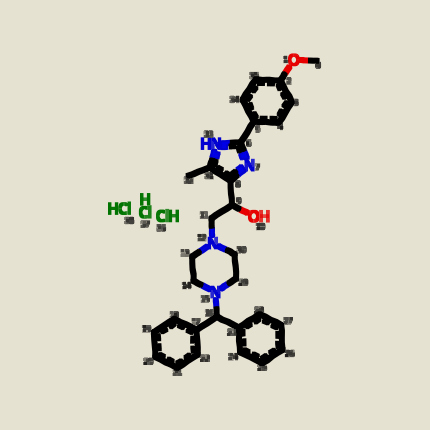 COc1ccc(-c2nc(C(O)CN3CCN(C(c4ccccc4)c4ccccc4)CC3)c(C)[nH]2)cc1.Cl.Cl.Cl